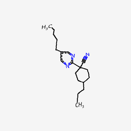 CCCCCc1cnc(C2(C#N)CCC(CCC)CC2)nc1